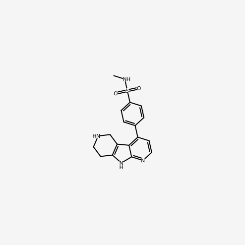 CNS(=O)(=O)c1ccc(-c2ccnc3[nH]c4c(c23)CNCC4)cc1